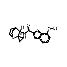 CCOc1cccc2cc(C(=O)N[C@H]3C4CCN(CC4)C34CC4)sc12